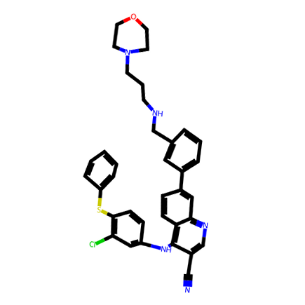 N#Cc1cnc2cc(-c3cccc(CNCCCN4CCOCC4)c3)ccc2c1Nc1ccc(Sc2ccccc2)c(Cl)c1